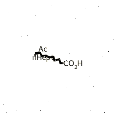 CCCCCCC/C=C(\CCCCCCCC(=O)O)C(C)=O